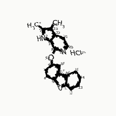 Cc1[nH]c2c(Oc3ccc4oc5ccccc5c4c3)nccc2c1C.Cl